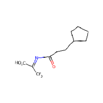 O=C(CCC1CCCC1)N=C(C(=O)O)C(F)(F)F